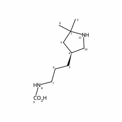 CC1(C)C[C@H](CCCNC(=O)O)CN1